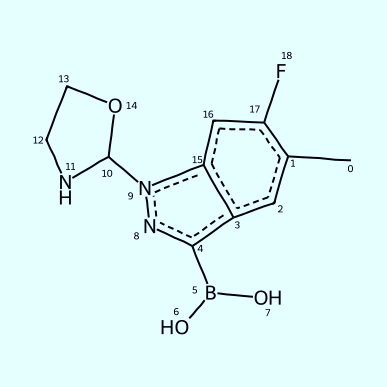 Cc1cc2c(B(O)O)nn(C3NCCO3)c2cc1F